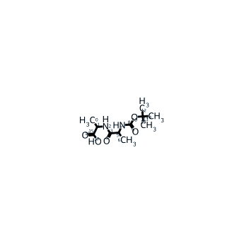 CC(NC(=O)C(C)NC(=O)OC(C)(C)C)C(=O)O